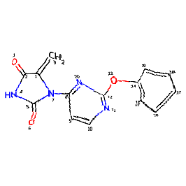 C=C1C(=O)NC(=O)N1c1ccnc(Oc2ccccc2)n1